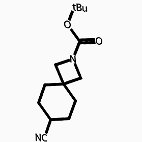 CC(C)(C)OC(=O)N1CC2(CCC(C#N)CC2)C1